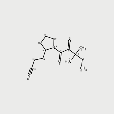 CCC(C)(C)C(=O)C(=O)N1CCCC1CCC#N